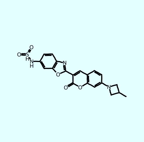 CC1CN(c2ccc3cc(-c4nc5ccc(N[SH](=O)=O)cc5o4)c(=O)oc3c2)C1